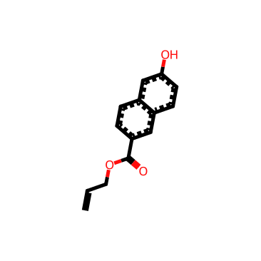 C=CCOC(=O)c1ccc2cc(O)ccc2c1